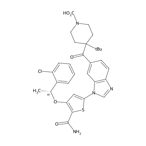 C[C@@H](Oc1cc(-n2cnc3ccc(C(=O)C4(C(C)(C)C)CCN(C(=O)O)CC4)cc32)sc1C(N)=O)c1ccccc1Cl